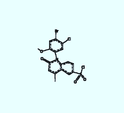 COc1cc(Br)c(Cl)cc1-n1c(=O)cc(C)c2cc(S(=O)(=O)Cl)ccc21